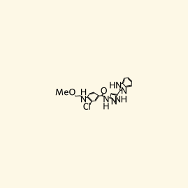 COCCNc1ccc(C(=O)Nc2cc(-c3nc4ccccc4[nH]3)[nH]n2)cc1Cl